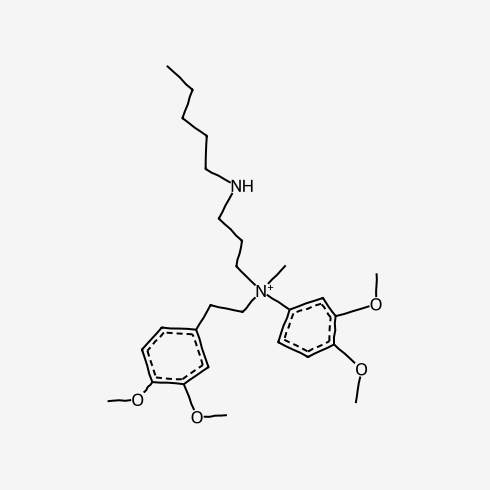 CCCCCNCCC[N+](C)(CCc1ccc(OC)c(OC)c1)c1ccc(OC)c(OC)c1